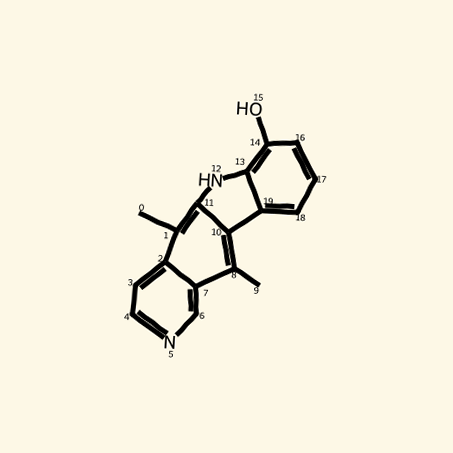 Cc1c2ccncc2c(C)c2c1[nH]c1c(O)cccc12